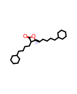 O=C1O/C(=C\CCCCC2CCCCC2)C1CCCCC1CCCCC1